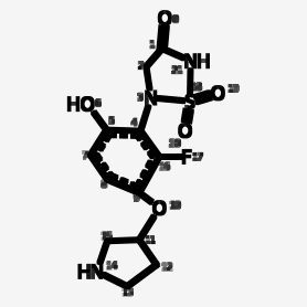 O=C1CN(c2c(O)ccc(OC3CCNC3)c2F)S(=O)(=O)N1